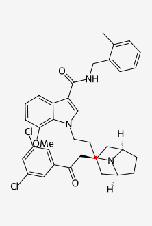 COc1cccc2c(C(=O)NCc3ccccc3C)cn(CCCN3[C@@H]4CC[C@H]3C[C@@H](CC(=O)c3cc(Cl)cc(Cl)c3)C4)c12